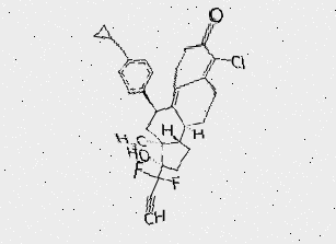 C#CC(F)(F)[C@]1(O)CC[C@H]2[C@@H]3CCC4=C(Cl)C(=O)CCC4=C3[C@H](c3ccc(C4CC4)cc3)C[C@@]21C